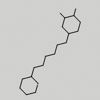 CC(=O)OC1CCC(CCCCCCC2CCCCC2)CC1O